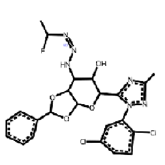 Cc1nc(C2OC3OC(c4ccccc4)OC3C(N/N=N\C(C)F)C2O)n(-c2cc(Cl)ccc2Cl)n1